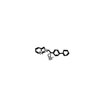 O=C(Cn1cc2cccc[n+]2c1)c1ccc(-c2ccccc2)cc1.[Br-]